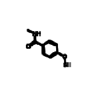 CNC(=O)c1ccc(OS)cc1